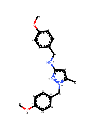 COc1ccc(CNc2cc(C)n(Cc3ccc(OC)cc3)n2)cc1